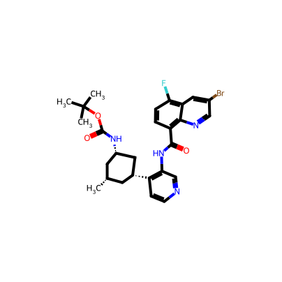 C[C@@H]1C[C@H](NC(=O)OC(C)(C)C)C[C@H](c2ccncc2NC(=O)c2ccc(F)c3cc(Br)cnc23)C1